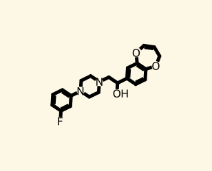 OC(CN1CCN(c2cccc(F)c2)CC1)c1ccc2c(c1)OC=CCO2